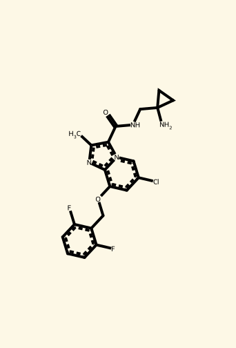 Cc1nc2c(OCc3c(F)cccc3F)cc(Cl)cn2c1C(=O)NCC1(N)CC1